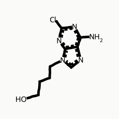 Nc1nc(Cl)nc2c1ncn2CCCCO